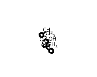 CCC(CC)(Cc1ccccc1)c1cc(O)c(Sc2ccccc2C(C)C)c(=O)o1